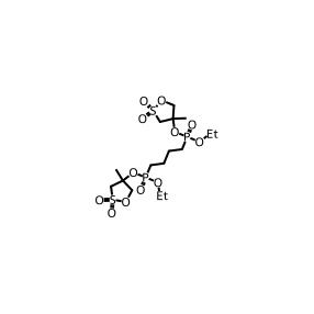 CCOP(=O)(CCCCP(=O)(OCC)OC1(C)COS(=O)(=O)C1)OC1(C)COS(=O)(=O)C1